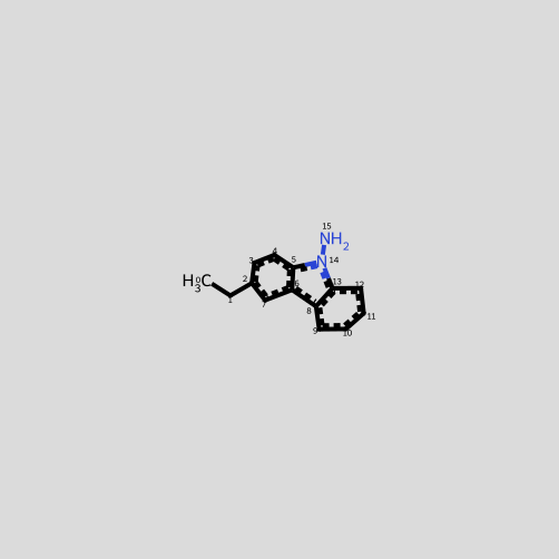 CCc1ccc2c(c1)c1ccccc1n2N